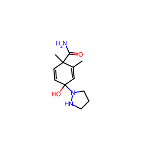 CC1=CC(O)(N2CCCN2)C=CC1(C)C(N)=O